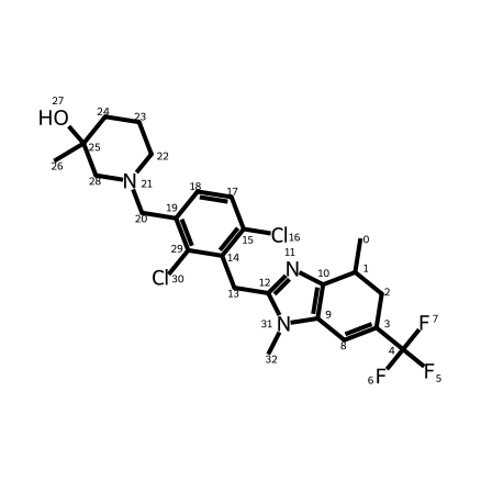 CC1CC(C(F)(F)F)=Cc2c1nc(Cc1c(Cl)ccc(CN3CCCC(C)(O)C3)c1Cl)n2C